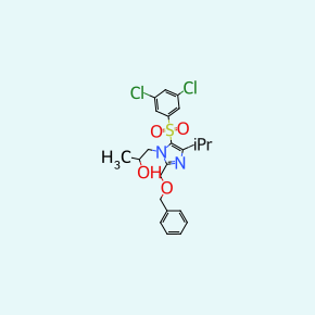 CC(O)Cn1c(COCc2ccccc2)nc(C(C)C)c1S(=O)(=O)c1cc(Cl)cc(Cl)c1